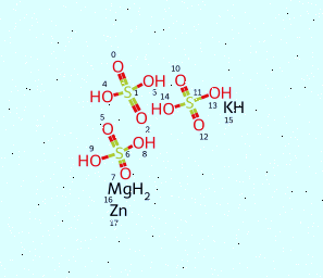 O=S(=O)(O)O.O=S(=O)(O)O.O=S(=O)(O)O.[KH].[MgH2].[Zn]